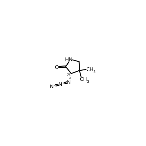 CC1(C)CNC(=O)[C@H]1N=[N+]=[N-]